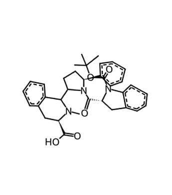 CN1C(C2CC[C@@H](c3ccccc3)N2C(=O)[C@H]2Cc3ccccc3N2C(=O)OC(C)(C)C)c2ccccc2C[C@@H]1C(=O)O